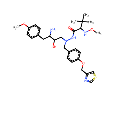 CONC(C(=O)NN(Cc1ccc(OCc2cscn2)cc1)CC(O)C(N)Cc1ccc(OC)cc1)C(C)(C)C